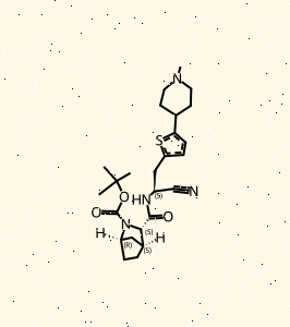 CN1CCC(c2ccc(C[C@@H](C#N)NC(=O)[C@@H]3[C@H]4CC[C@H](C4)N3C(=O)OC(C)(C)C)s2)CC1